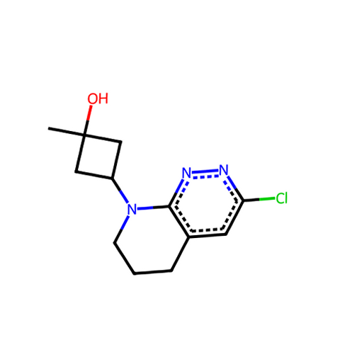 CC1(O)CC(N2CCCc3cc(Cl)nnc32)C1